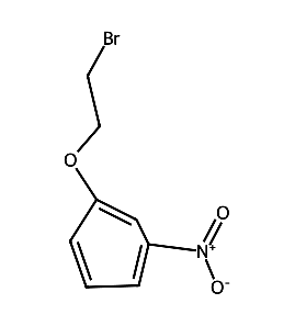 O=[N+]([O-])c1cccc(OCCBr)c1